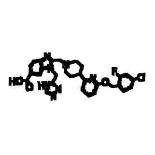 O=C(O)c1ccc2nc(CN3CCC(c4cccc(OCc5ccc(Cl)cc5F)n4)CC3)n(Cc3nnc[nH]3)c2c1